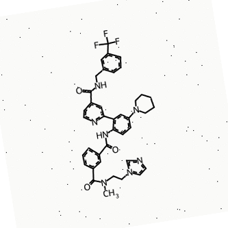 CN(CCn1ccnc1)C(=O)c1cccc(C(=O)Nc2ccc(N3CCCCC3)cc2-c2cc(C(=O)NCc3cccc(C(F)(F)F)c3)ccn2)c1